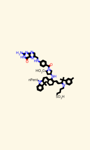 CCCCCN1/C(=C/C=C2\CCCC(/C=C/C3=[N+](CCCCS(=O)(=O)O)c4ccc(C)cc4C3(C)C)=C2NC2C[C@@H](C(=O)O)N(C(=O)c3ccc(NCc4cnc5nc(N)[nH]c(=O)c5n4)cc3)C2)C(C)(C)c2ccccc21